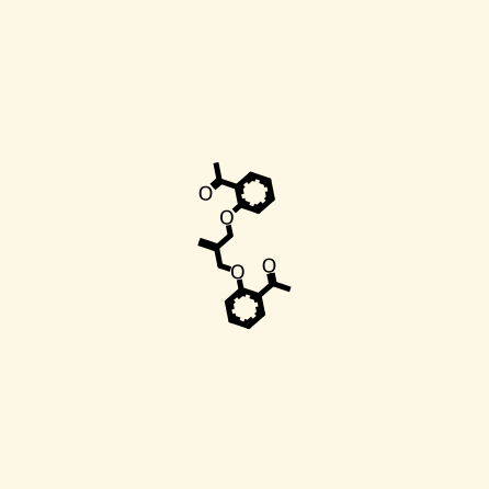 C=C(COc1ccccc1C(C)=O)COc1ccccc1C(C)=O